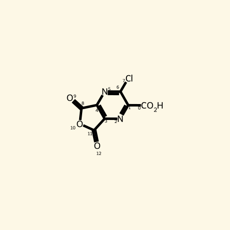 O=C(O)c1nc2c(nc1Cl)C(=O)OC2=O